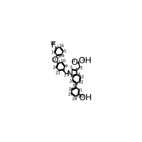 O=C(O)Cc1cn(Cc2ccc(Oc3cccc(F)c3)cc2)c2cc(-c3cccc(O)c3)ccc12